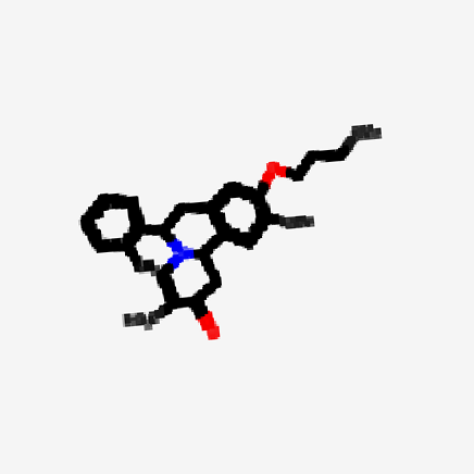 CCOC(=O)C1=CN2C(c3ccccc3C)Cc3cc(OCCCOC)c(OC)cc3C2CC1=O